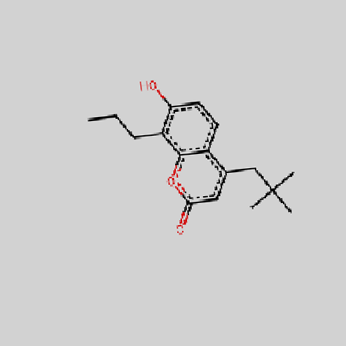 CCCc1c(O)ccc2c(CC(C)(C)C)cc(=O)oc12